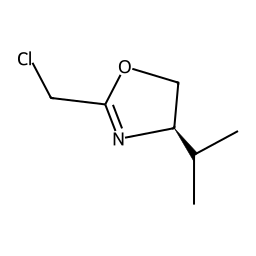 CC(C)[C@@H]1COC(CCl)=N1